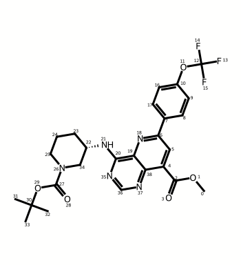 COC(=O)c1cc(-c2ccc(OC(F)(F)F)cc2)nc2c(N[C@H]3CCCN(C(=O)OC(C)(C)C)C3)ncnc12